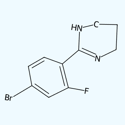 Fc1cc(Br)ccc1C1=NCCCN1